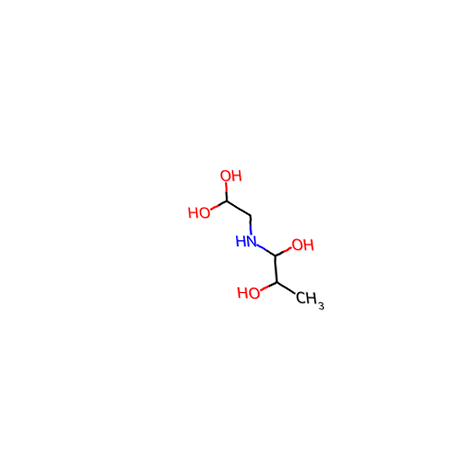 CC(O)C(O)NCC(O)O